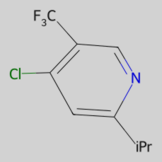 CC(C)c1cc(Cl)c(C(F)(F)F)cn1